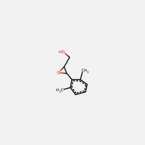 Cc1cccc(C)c1C1OC1CO